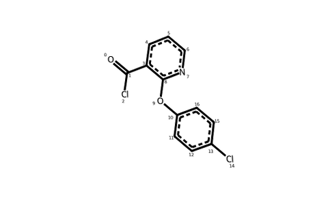 O=C(Cl)c1cccnc1Oc1ccc(Cl)cc1